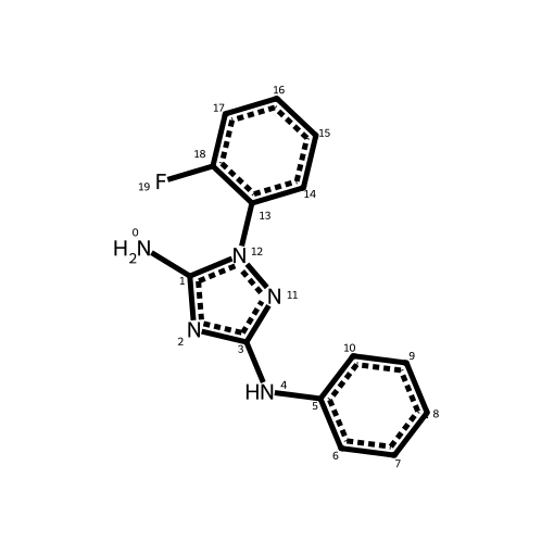 Nc1nc(Nc2cc[c]cc2)nn1-c1ccccc1F